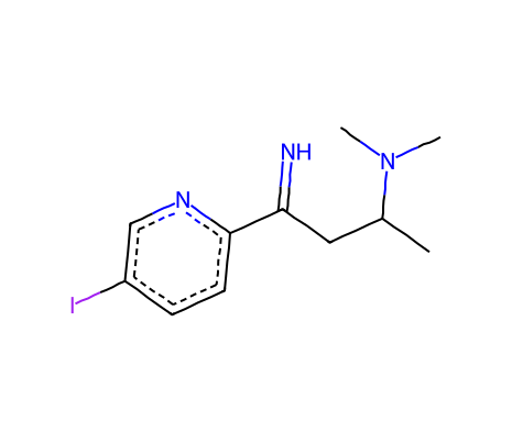 CC(CC(=N)c1ccc(I)cn1)N(C)C